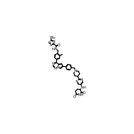 Cc1cc(-c2ncnn3cc(-c4ccc(CN5CCC(c6ncc(NC7CCC(=O)NC7=O)cn6)CC5)cc4)cc23)ccc1CNC(=O)c1noc(C(C)(C)C)n1